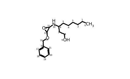 CCCCCCC(CCO)NC1OC1OCc1ccccc1